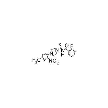 O=C(NC(=S)N1CCN(c2ccc(C(F)(F)F)cc2[N+](=O)[O-])CC1)c1ccccc1F